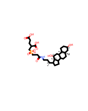 C[C@H](CCNC(=O)CCP(=O)(O)CC(CCC(=O)O)C(=O)O)C1CCC2C3CC[C@@H]4C[C@H](O)CC[C@]4(C)C3C[C@H](O)[C@@]21C